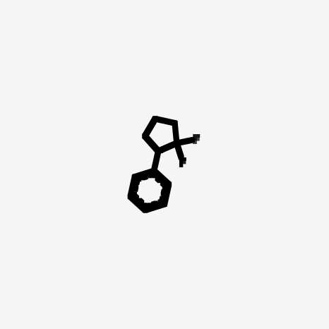 FC1(F)CCC[C]1c1ccccc1